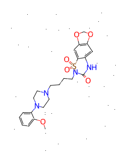 COc1ccccc1N1CCN(CCCCN2C(=O)Nc3cc4c(cc3S2(=O)=O)OCO4)CC1